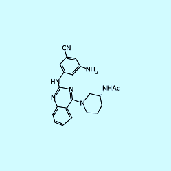 CC(=O)N[C@@H]1CCCN(c2nc(Nc3cc(N)cc(C#N)c3)nc3ccccc23)C1